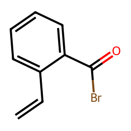 C=Cc1ccccc1C(=O)Br